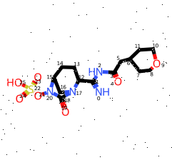 N=C(NC(=O)CC1CCOCC1)C1CCC2CN1C(=O)N2OS(=O)(=O)O